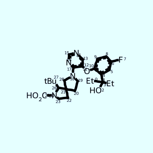 CCC(O)(CC)c1cc(F)ccc1Oc1cncnc1N1CCC2(CCN(C(=O)O)C2C(C)(C)C)C1